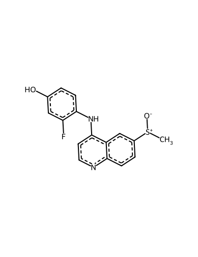 C[S+]([O-])c1ccc2nccc(Nc3ccc(O)cc3F)c2c1